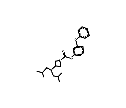 CC(C)CN(CC(C)C)C1CN(C(=O)Nc2cccc(Oc3ccccc3)c2)C1